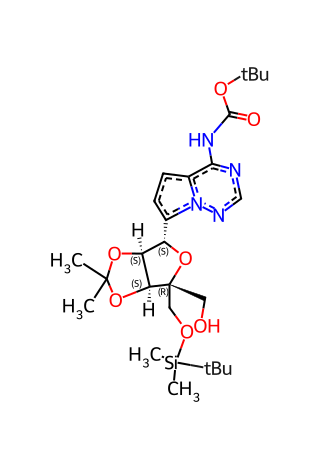 CC(C)(C)OC(=O)Nc1ncnn2c([C@@H]3O[C@](CO)(CO[Si](C)(C)C(C)(C)C)[C@H]4OC(C)(C)O[C@@H]34)ccc12